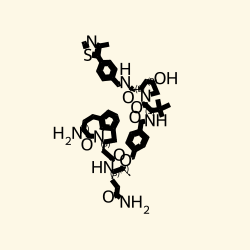 Cc1ncsc1-c1ccc(CNC(=O)[C@@H]2C[C@@H](O)CN2C(=O)[C@@H](NC(=O)c2ccc(CO[C@H](C)[C@H](CCC(N)=O)NC(=O)C[C@@H]3Cc4cccc5c4N3C(=O)[C@@H](N)CC5)cc2)C(C)(C)C)cc1